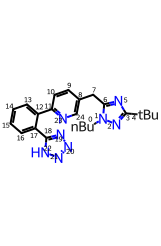 CCCCn1nc(C(C)(C)C)nc1Cc1ccc(-c2ccccc2-c2nnn[nH]2)nc1